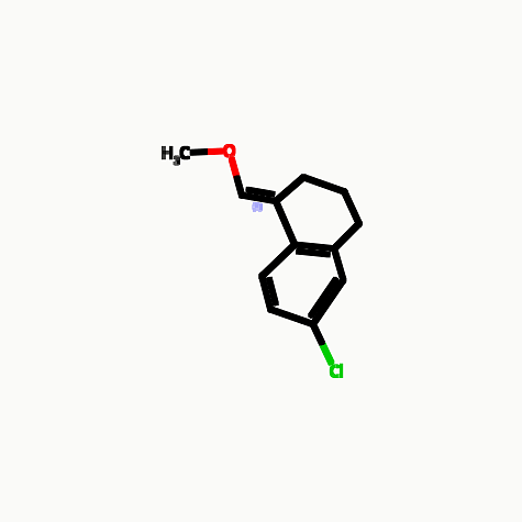 CO/C=C1\CCCc2cc(Cl)ccc21